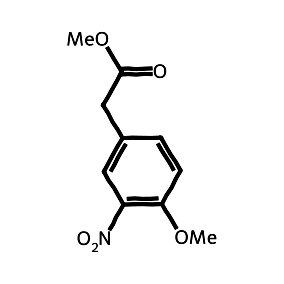 COC(=O)Cc1ccc(OC)c([N+](=O)[O-])c1